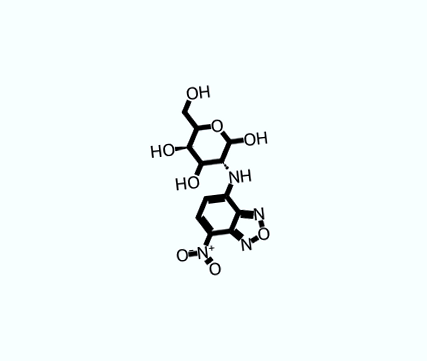 O=[N+]([O-])c1ccc(N[C@H]2C(O)OC(CO)[C@H](O)C2O)c2nonc12